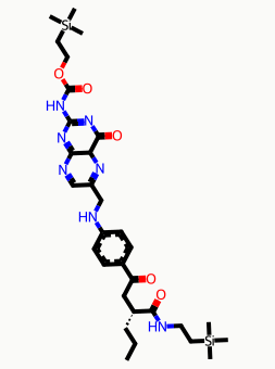 CCC[C@H](CC(=O)c1ccc(NCC2=NC3C(=O)N=C(NC(=O)OCC[Si](C)(C)C)N=C3N=C2)cc1)C(=O)NCC[Si](C)(C)C